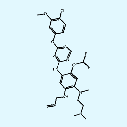 C=CCNc1cc(Nc2ncnc(Oc3ccc(Cl)c(OC)c3)n2)c(OC(F)F)cc1N(C)CCN(C)C